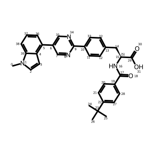 Cn1ccc2c(-c3cnc(-c4ccc(C[C@H](NC(=O)c5ccc(C(C)(C)C)cc5)C(=O)O)cc4)nc3)cccc21